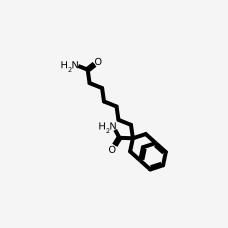 NC(=O)CCCCCCC1(C(N)=O)Cc2cccc(c2)C1